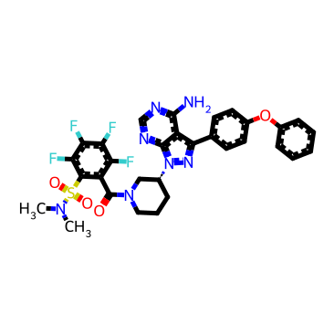 CN(C)S(=O)(=O)c1c(F)c(F)c(F)c(F)c1C(=O)N1CCC[C@@H](n2nc(-c3ccc(Oc4ccccc4)cc3)c3c(N)ncnc32)C1